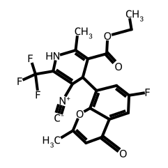 [C-]#[N+]C1=C(C(F)(F)F)NC(C)=C(C(=O)OCC)C1c1cc(F)cc2c(=O)cc(C)oc12